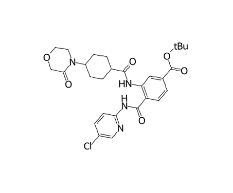 CC(C)(C)OC(=O)c1ccc(C(=O)Nc2ccc(Cl)cn2)c(NC(=O)C2CCC(N3CCOCC3=O)CC2)c1